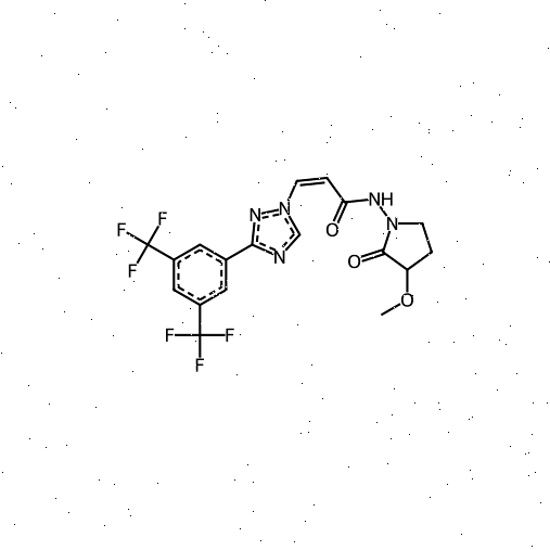 COC1CCN(NC(=O)/C=C\n2cnc(-c3cc(C(F)(F)F)cc(C(F)(F)F)c3)n2)C1=O